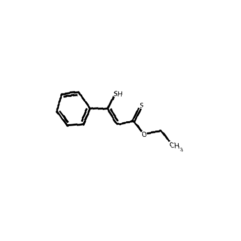 CCOC(=S)/C=C(\S)c1ccccc1